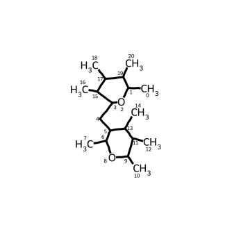 CC1OC(CC2C(C)OC(C)C(C)C2C)C(C)C(C)C1C